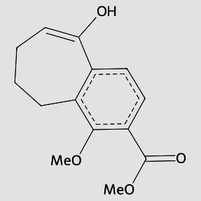 COC(=O)c1ccc2c(c1OC)CCCC=C2O